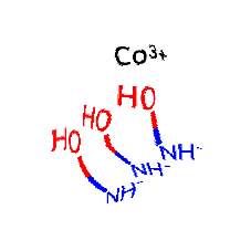 [Co+3].[NH-]O.[NH-]O.[NH-]O